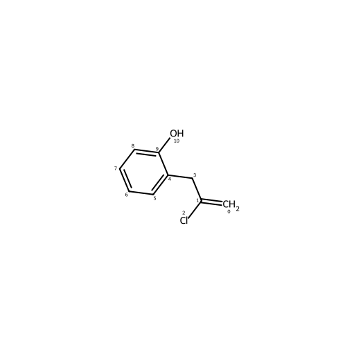 C=C(Cl)Cc1ccccc1O